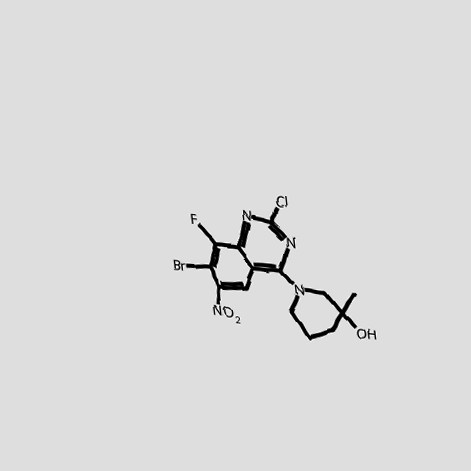 CC1(O)CCCN(c2nc(Cl)nc3c(F)c(Br)c([N+](=O)[O-])cc23)C1